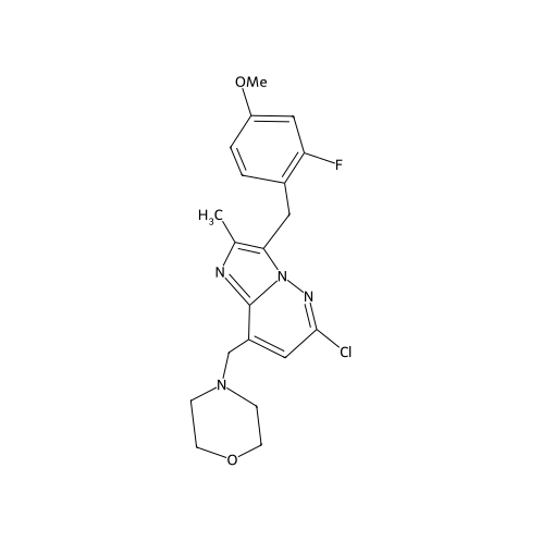 COc1ccc(Cc2c(C)nc3c(CN4CCOCC4)cc(Cl)nn23)c(F)c1